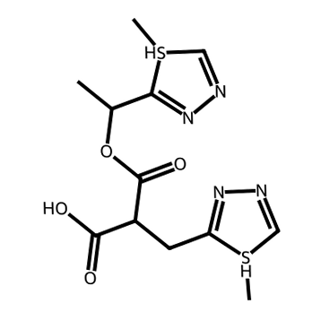 CC(OC(=O)C(CC1=NN=C[SH]1C)C(=O)O)C1=NN=C[SH]1C